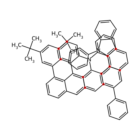 CC(C)(C)c1cc(-c2cccc3cccc(-c4ccccc4N(c4ccccc4-c4ccc(-c5ccccc5)cc4)c4ccccc4-c4cccc5c6ccccc6n(-c6ccccc6)c45)c23)cc(C(C)(C)C)c1